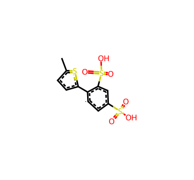 Cc1ccc(-c2[c]cc(S(=O)(=O)O)cc2S(=O)(=O)O)s1